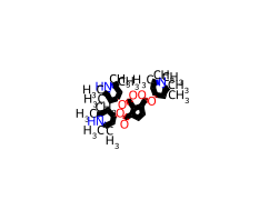 CN1C(C)(C)CC(OC(=O)C2CCC(C(=O)OC3CC(C)(C)NC(C)(C)C3)C2C(=O)OC2CC(C)(C)NC(C)(C)C2)CC1(C)C